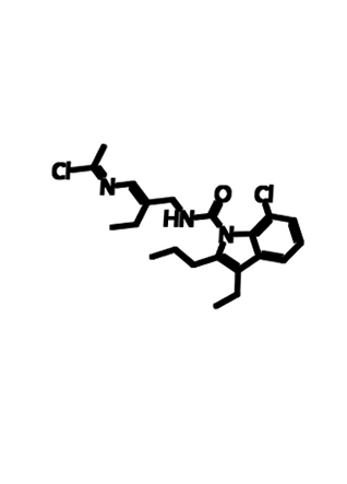 CCCc1c(CC)c2cccc(Cl)c2n1C(=O)NC/C(=C/N=C(\C)Cl)CC